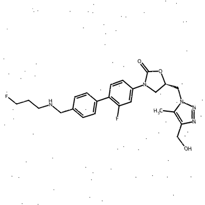 Cc1c(CO)nnn1C[C@H]1CN(c2ccc(-c3ccc(CNCCCF)cc3)c(F)c2)C(=O)O1